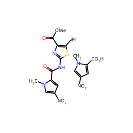 COC(=O)c1nc(NC(=O)c2cc([N+](=O)[O-])cn2C)sc1C(C)C.Cn1cc([N+](=O)[O-])cc1C(=O)O